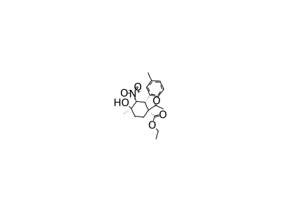 CCOC(=O)[C@]1(C(C)=O)CC[C@@](C)(O)[C@@H]([N+](=O)[O-])[C@@H]1c1cccc(C)c1